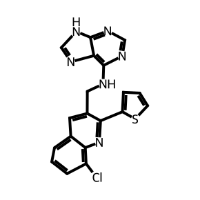 Clc1cccc2cc(CNc3ncnc4[nH]cnc34)c(-c3cccs3)nc12